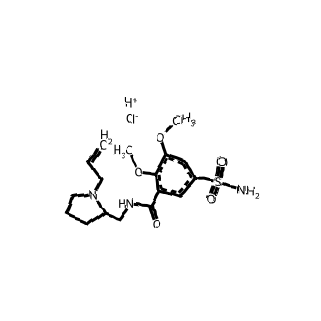 C=CCN1CCCC1CNC(=O)c1cc(S(N)(=O)=O)cc(OC)c1OC.[Cl-].[H+]